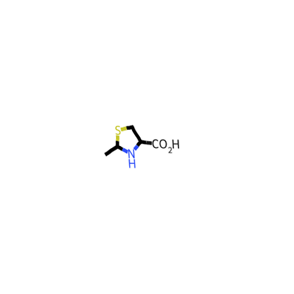 CC1NC(C(=O)O)CS1